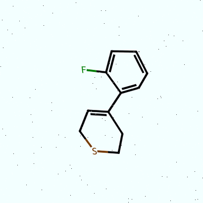 Fc1c[c]ccc1C1=CCSCC1